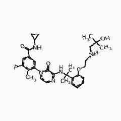 Cc1c(F)cc(C(=O)NC2CC2)cc1-n1ccnc(NC(C)(C)c2ccccc2OCCNCC(C)(C)O)c1=O